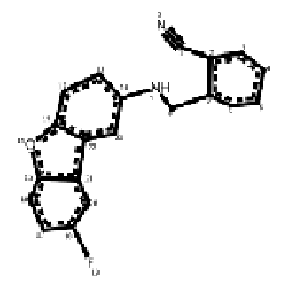 N#Cc1ccccc1CNc1ccc2oc3ccc(F)cc3c2c1